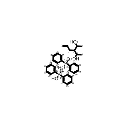 C=CCC(C(C)O)C(C)O.O=P(O)(c1ccccc1)c1ccccc1.O=P(O)(c1ccccc1)c1ccccc1